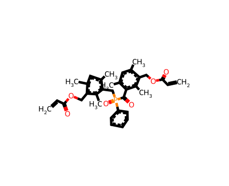 C=CC(=O)OCc1c(C)cc(C)c(CP(=O)(C(=O)c2c(C)cc(C)c(COC(=O)C=C)c2C)c2ccccc2)c1C